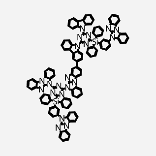 c1ccc([Si](c2ccccc2)(c2cccc(-n3c4ccccc4n4c5ccccc5nc34)c2)c2nc(-n3c4ccccc4c4ccccc43)nc(-n3c4ccccc4c4cc(-c5ccc6c(c5)nc5n(-c7nc(-n8c9ccccc9n9c%10ccccc%10nc89)nc([Si](c8ccccc8)(c8ccccc8)c8cccc(-n9c%10ccccc%10n%10c%11ccccc%11nc9%10)c8)n7)c7ccccc7n65)ccc43)n2)cc1